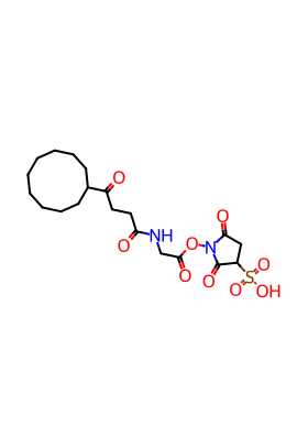 O=C(CCC(=O)C1CCCCCCCCC1)NCC(=O)ON1C(=O)CC(S(=O)(=O)O)C1=O